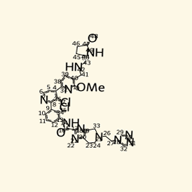 COc1nc(-c2ccnc(-c3cccc(NC(=O)c4nc5c(n4C)CCN(CCn4cnnc4)C5)c3Cl)c2Cl)ccc1CNC[C@@H]1CCC(=O)N1